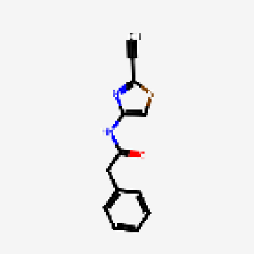 C#Cc1nc(NC(=O)Cc2ccccc2)cs1